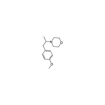 [CH2]C(Cc1ccc(OC)cc1)N1CCOCC1